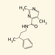 Cc1ncc(C)c(C(=O)NCCC(C)c2ccccc2)n1